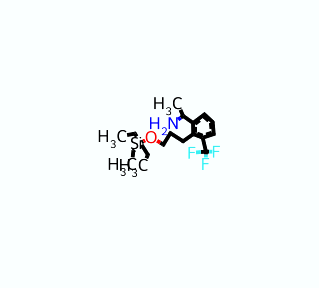 CC[Si](CC)(CC)OCCCc1c(C(C)N)cccc1C(F)(F)F